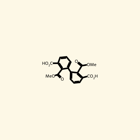 COC(=O)c1c(C(=O)O)cccc1-c1cccc(C(=O)O)c1C(=O)OC